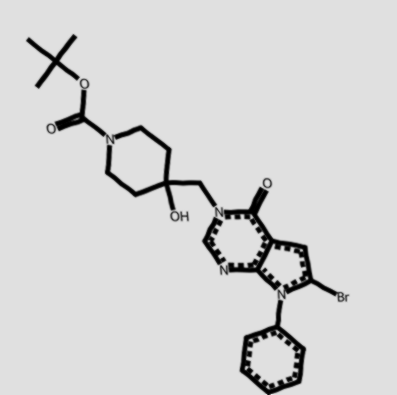 CC(C)(C)OC(=O)N1CCC(O)(Cn2cnc3c(cc(Br)n3-c3ccccc3)c2=O)CC1